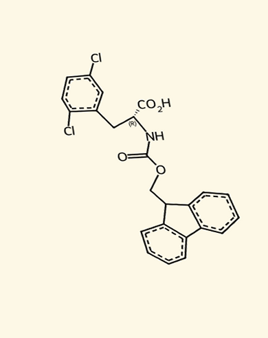 O=C(N[C@H](Cc1cc(Cl)ccc1Cl)C(=O)O)OCC1c2ccccc2-c2ccccc21